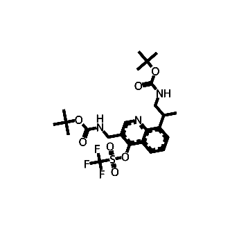 CC(CNC(=O)OC(C)(C)C)c1cccc2c(OS(=O)(=O)C(F)(F)F)c(CNC(=O)OC(C)(C)C)cnc12